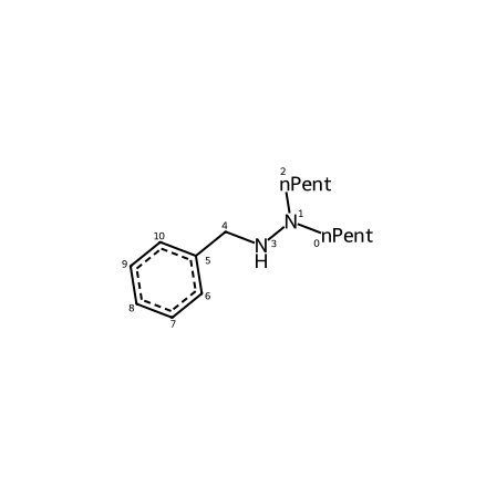 CCCCCN(CCCCC)NCc1ccccc1